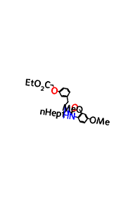 CCCCCCCN(CCc1cccc(OCC(=O)OCC)c1)C(=O)Nc1ccc(OC)cc1OC